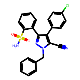 N#Cc1c(-c2ccc(Cl)cc2)c(-c2ccccc2S(N)(=O)=O)nn1Cc1ccccc1